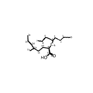 CCCCC(CCC)CC(CCC(C)CCC)C(=O)O